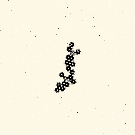 c1ccc(-c2nc(-c3ccc(-c4ccccc4-c4ccccc4-c4ccccc4)c4ccccc34)nc(-c3cc(-c4cccc(-c5cccc(-c6c7ccccc7c(-c7ccc(-c8nc(-c9ccccc9)nc(-c9cccc%10c9sc9ccccc9%10)n8)c8ccccc78)c7ccccc67)c5)c4)cc4c3sc3ccccc34)n2)cc1